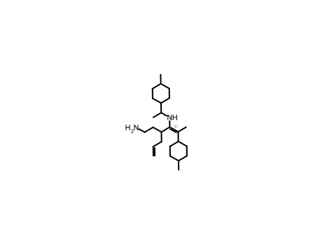 C=CCC(CCN)/C(NC(C)C1CCC(C)CC1)=C(/C)C1CCC(C)CC1